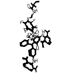 CCC(C)(C)C(=O)NCCSc1c(F)c(F)c(S(=O)(=O)NS(=O)(=O)c2ccccc2C2=C3C=CC(Nc4c(C(C)C)cccc4C(C)C)C=C3Oc3cc(Nc4c(C(C)C)cccc4C(C)C)ccc32)c(F)c1F